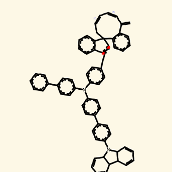 C=C1/C=C\C=C/CC2(c3ccccc31)c1ccccc1-c1c(-c3ccc(N(c4ccc(-c5ccccc5)cc4)c4ccc(-c5ccc(N6C7C=CC=CC7C7C=CC=CC76)cc5)cc4)cc3)cccc12